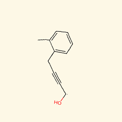 Cc1ccccc1CC#C[CH]O